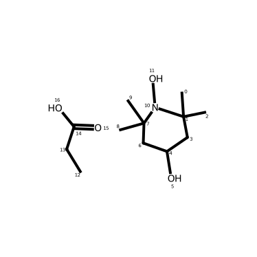 CC1(C)CC(O)CC(C)(C)N1O.CCC(=O)O